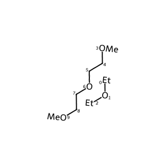 CCOCC.COCCOCCOC